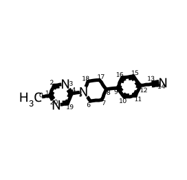 Cc1cnc(N2CCC(c3ccc(C#N)cc3)CC2)cn1